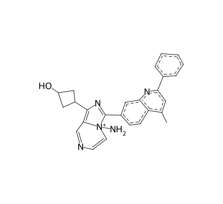 Cc1cc(-c2ccccc2)nc2cc(C3=NC(C4CC(O)C4)=C4C=NC=C[N+]34N)ccc12